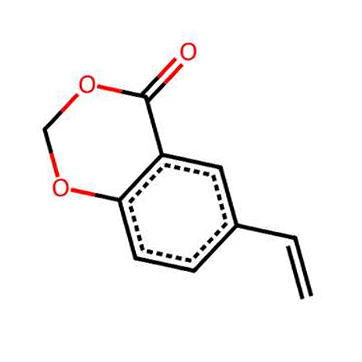 C=Cc1ccc2c(c1)C(=O)OCO2